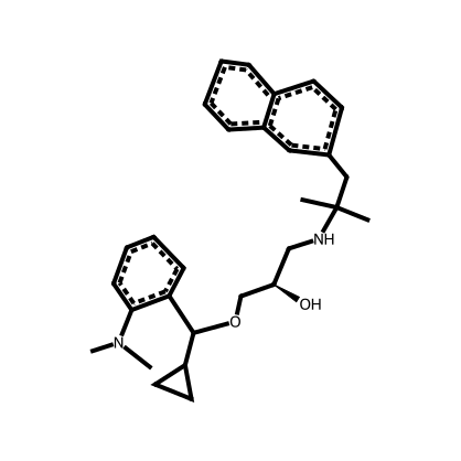 CN(C)c1ccccc1C(OC[C@H](O)CNC(C)(C)Cc1ccc2ccccc2c1)C1CC1